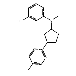 CC([C]1CCC(c2ccc(Cl)cc2)C1)c1cccc(C#N)c1